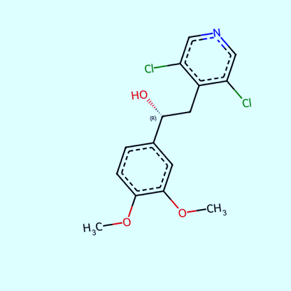 COc1ccc([C@H](O)Cc2c(Cl)cncc2Cl)cc1OC